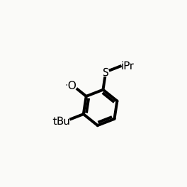 CC(C)Sc1cccc(C(C)(C)C)c1[O]